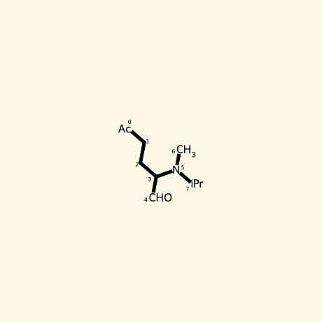 CC(=O)CCC(C=O)N(C)C(C)C